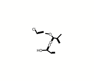 C=C(C)C(=O)OC.C=CC(=O)O.C=CCl